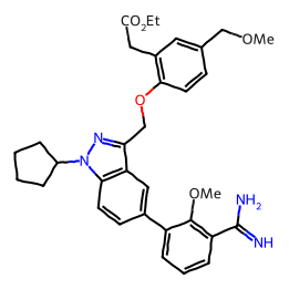 CCOC(=O)Cc1cc(COC)ccc1OCc1nn(C2CCCC2)c2ccc(-c3cccc(C(=N)N)c3OC)cc12